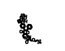 CC(C)(C)OC(=O)NC1(c2ccc(-c3c(-c4ccccc4)oc4c(ccn5c(=O)n(COCC[Si](C)(C)C)nc45)c3=O)cc2)CCC1